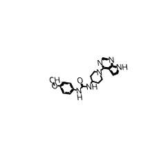 COc1ccc(NC(=O)NC2CCN(c3ncnc4[nH]ccc34)CC2)cc1